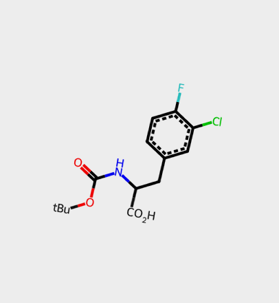 CC(C)(C)OC(=O)NC(Cc1ccc(F)c(Cl)c1)C(=O)O